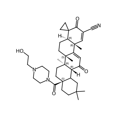 CC1(C)CC[C@]2(C(=O)N3CCN(CCO)CC3)CC[C@]3(C)[C@H](C(=O)C=C4[C@@]5(C)C=C(C#N)C(=O)C6(CC6)[C@@H]5CC[C@]43C)C2C1